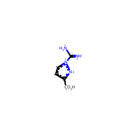 N=C(N)n1ccc(C(=O)O)n1